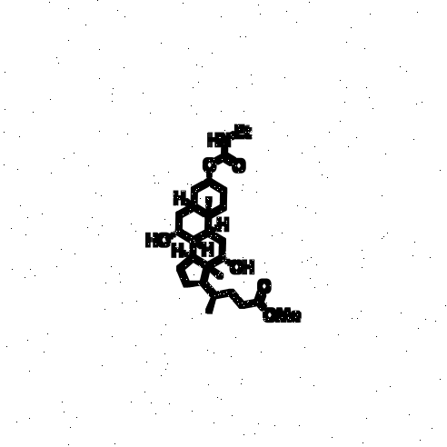 CCNC(=O)O[C@@H]1CC[C@@]2(C)[C@@H](C1)C[C@@H](O)[C@@H]1[C@@H]2C[C@H](O)[C@]2(C)[C@@H]([C@H](C)CCC(=O)OC)CC[C@@H]12